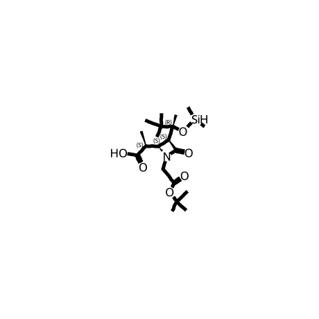 C[C@H](C(=O)O)[C@@H]1[C@@H]([C@@](C)(O[SiH](C)C)C(C)(C)C)C(=O)N1CC(=O)OC(C)(C)C